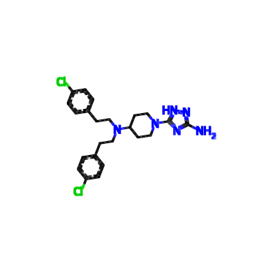 Nc1n[nH]c(N2CCC(N(CCc3ccc(Cl)cc3)CCc3ccc(Cl)cc3)CC2)n1